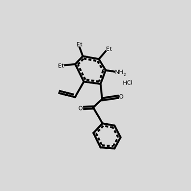 C=Cc1c(CC)c(CC)c(CC)c(N)c1C(=O)C(=O)c1ccccc1.Cl